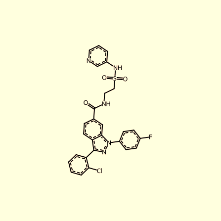 O=C(NCCS(=O)(=O)Nc1cccnc1)c1ccc2c(-c3ccccc3Cl)nn(-c3ccc(F)cc3)c2c1